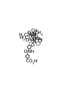 CSC(C)(C)C(NC(=O)C(C)N(C)C(=O)OC(C)(C)C)C(=O)NC(Cc1ccc(NC(=O)c2ccc(C(=O)O)cc2)cc1)C(=O)N[C@@H]1CCCc2ccccc21